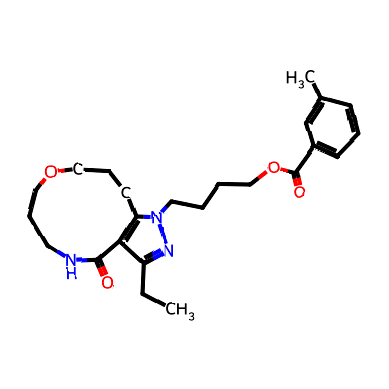 CCc1nn(CCCCOC(=O)c2cccc(C)c2)c2c1C(=O)NCCCOCCC2